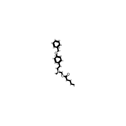 CCCCC(=O)OCN(C)CCc1ccc(OCc2ccccc2)cc1